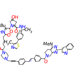 CNc1nc(-c2cnc3ccccc3c2)nc2c1CCN(C(=O)c1ccc(/C=C/c3ccc(C#CCN4CCN(C(=O)CCCCC(=O)N[C@H](C(=O)N5C[C@H](O)C[C@H]5C(=O)N[C@@H](C)c5ccc(-c6scnc6C)cc5)C(C)(C)C)CC4)cc3)cc1)C2